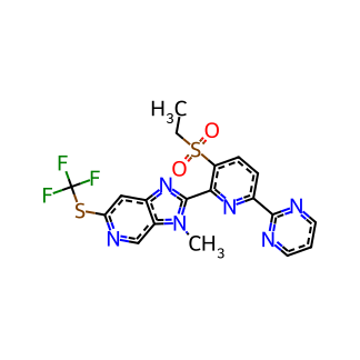 CCS(=O)(=O)c1ccc(-c2ncccn2)nc1-c1nc2cc(SC(F)(F)F)ncc2n1C